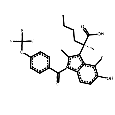 CCCC[C@@](C)(C(=O)O)c1c(C)n(C(=O)c2ccc(OC(F)(F)F)cc2)c2ccc(O)c(F)c12